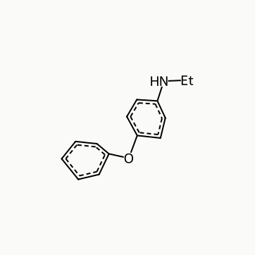 CCNc1ccc(Oc2ccccc2)cc1